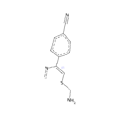 C=N/C(=C\SCN)c1ccc(C#N)cc1